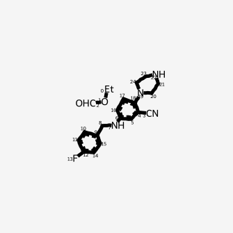 CCOC=O.N#Cc1cc(NCc2ccc(F)cc2)ccc1N1CCNCC1